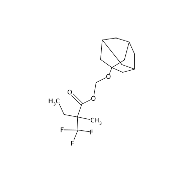 CCC(C)(C(=O)OCOC12CC3CC(CC(C3)C1)C2)C(F)(F)F